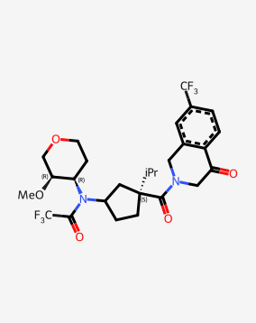 CO[C@H]1COCC[C@H]1N(C(=O)C(F)(F)F)C1CC[C@@](C(=O)N2CC(=O)c3ccc(C(F)(F)F)cc3C2)(C(C)C)C1